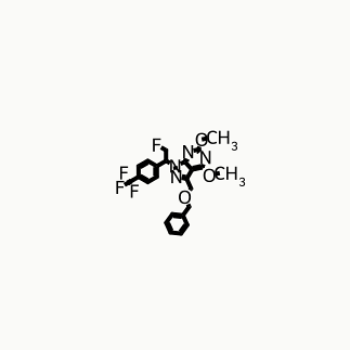 COc1nc(OC)c2c(COCc3ccccc3)nn(C(CF)c3ccc(C(F)(F)F)cc3)c2n1